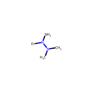 CCN([SiH3])N(C)C